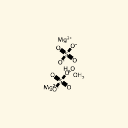 O.O.O=S(=O)([O-])[O-].O=S(=O)([O-])[O-].[Mg+2].[Mg+2]